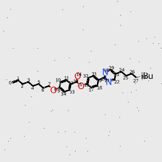 C=CCCCCCCOc1ccc(C(=O)Oc2ccc(-c3ncc(CCCC[C@@H](C)CC)cn3)cc2)cc1